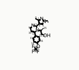 Cc1nn(C)cc1C1N=CC=C(c2ccc(OC(F)(F)F)cc2)N1[C@@H](C)CO